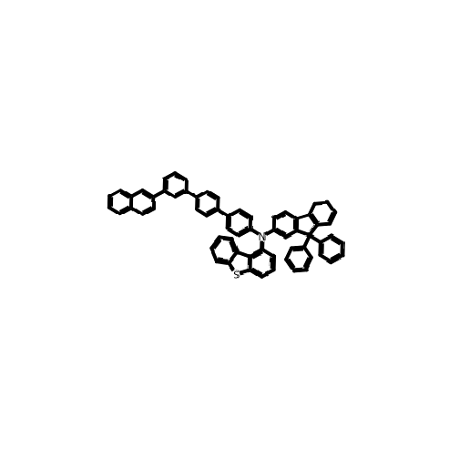 C1=CC2=C(CC1)c1ccc(N(c3ccc(-c4ccc(-c5cccc(-c6ccc7ccccc7c6)c5)cc4)cc3)c3cccc4sc5ccccc5c34)cc1C2(c1ccccc1)c1ccccc1